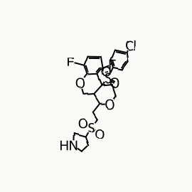 O=S(=O)(CCC1OCC[C@@]2(S(=O)(=O)c3ccc(Cl)cc3)c3c(F)ccc(F)c3OCC12)C1CCNC1